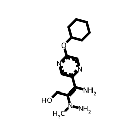 CN(N)/C(CO)=C(\N)c1cnc(OC2CCCCC2)cn1